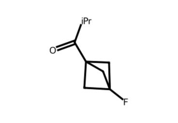 CC(C)C(=O)C12CC(F)(C1)C2